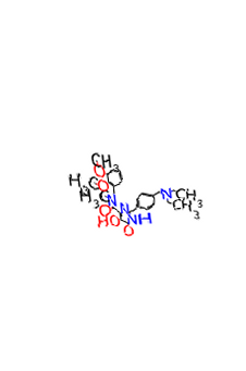 CCN(CC)Cc1ccc(-c2nc(C(=O)N(C)Cc3cccc(OC)c3OC)c(O)c(=O)[nH]2)cc1